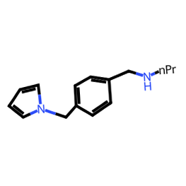 CCCNCc1ccc(Cn2cccc2)cc1